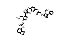 CCn1c(SCC(=O)Nc2ccc(Oc3cc(-c4nnc(SCC(=O)Nc5cccc6c5OCO6)n4CC)co3)c(O)c2)nnc1-c1ccoc1